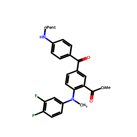 CCCCCNc1ccc(C(=O)c2ccc(N(C)c3ccc(F)c(F)c3)c(C(=O)OC)c2)cc1